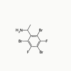 CC(N)c1c(Br)c(F)c(Br)c(F)c1Br